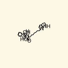 O=C(O)[C@H](CCCCCCCc1ccc2c(n1)NCCC2)NC(=O)[C@H](O)c1ccccc1